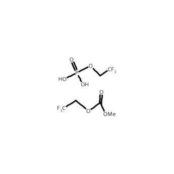 COC(=O)OCC(F)(F)F.O=P(O)(O)OCC(F)(F)F